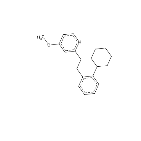 COc1ccnc(CCc2ccccc2C2CCCCC2)c1